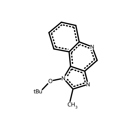 Cc1nc2cnc3ccccc3c2n1OC(C)(C)C